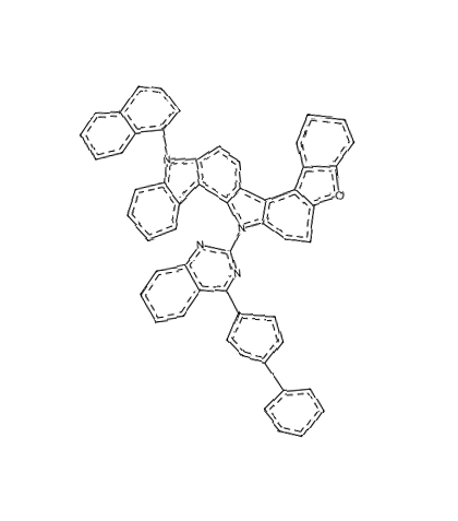 c1ccc(-c2ccc(-c3nc(-n4c5ccc6oc7ccccc7c6c5c5ccc6c(c7ccccc7n6-c6cccc7ccccc67)c54)nc4ccccc34)cc2)cc1